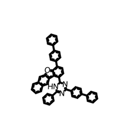 c1ccc(C2=NC(c3ccc(-c4ccccc4)cc3)=NC(c3ccc(-c4ccc(-c5ccccc5)cc4)c4oc5cc6ccccc6cc5c34)N2)cc1